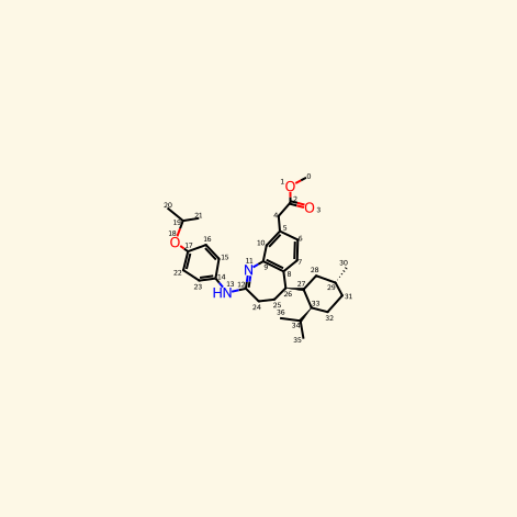 COC(=O)Cc1ccc2c(c1)N=C(Nc1ccc(OC(C)C)cc1)CC[C@@H]2C1C[C@H](C)CC[C@H]1C(C)C